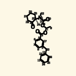 CC(OC(=O)c1cccc(Cc2ccccc2)c1)OC(=O)N(C)[C@]1(C)CCCCC1=O